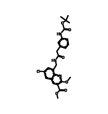 COC(=O)c1cc2cc(Cl)cc(CNC(=O)Cc3cccc(NC(=O)OC(C)(C)C)c3)c2nc1OC